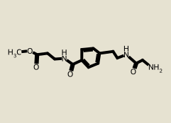 COC(=O)CCNC(=O)c1ccc(CCNC(=O)CN)cc1